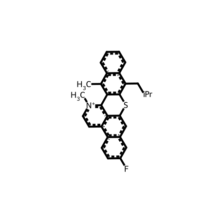 Cc1c2c(c(CC(C)C)c3ccccc13)Sc1cc3cc(F)ccc3c3cc[n+](C)c-2c13